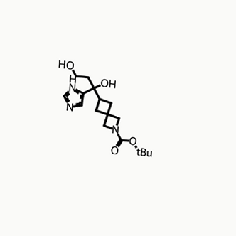 CC(C)(C)OC(=O)N1CC2(CC(C(O)(CCO)c3cnc[nH]3)C2)C1